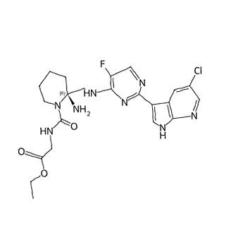 CCOC(=O)CNC(=O)N1CCCC[C@]1(N)CNc1nc(-c2c[nH]c3ncc(Cl)cc23)ncc1F